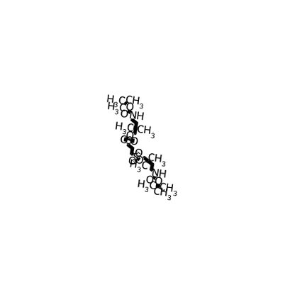 CC(C)(CCNC(=O)OC(C)(C)C)COS(=O)(=O)CCCS(=O)(=O)OCC(C)(C)CCNC(=O)OC(C)(C)C